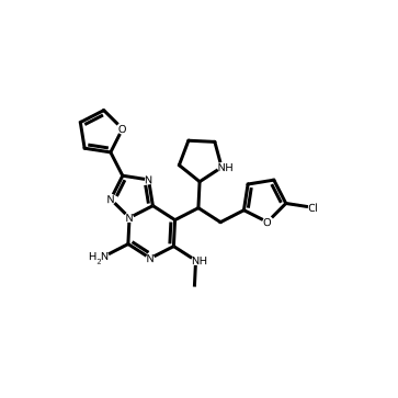 CNc1nc(N)n2nc(-c3ccco3)nc2c1C(Cc1ccc(Cl)o1)C1CCCN1